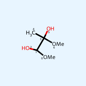 COC(O)C(C)(O)OC